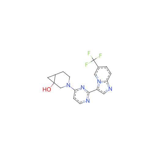 OC12CC1CCN(c1ccnc(-c3cnc4ccc(C(F)(F)F)cn34)n1)C2